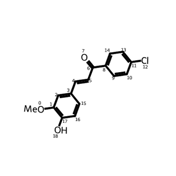 COc1cc(C=CC(=O)c2ccc(Cl)cc2)ccc1O